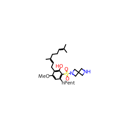 CCCCCc1cc(OC)c(C/C=C(\C)CCC=C(C)C)c(O)c1S(=O)(=O)N1CC2(CNC2)C1